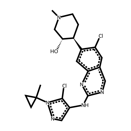 CN1CC[C@@H](c2cc3nc(Nc4cnn(C5(C)CC5)c4Cl)ncc3cc2Cl)[C@H](O)C1